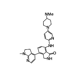 CNC1CCN(c2ccc(Nc3ccc(-c4ccnc5c4CCN5C)c4c3C(=O)NC4)nc2)CC1